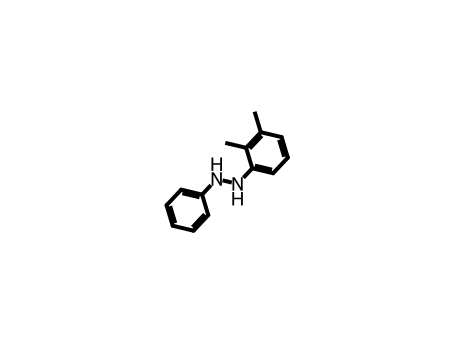 Cc1cccc(NNc2ccccc2)c1C